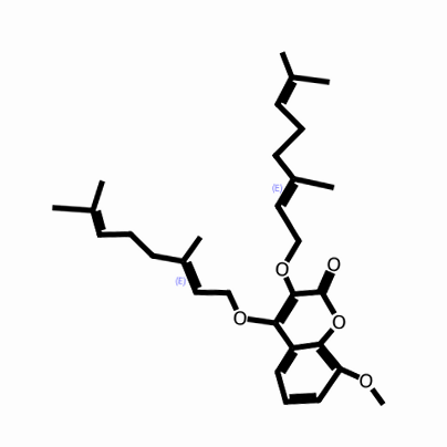 COc1cccc2c(OC/C=C(\C)CCC=C(C)C)c(OC/C=C(\C)CCC=C(C)C)c(=O)oc12